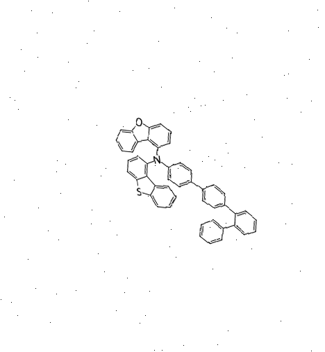 c1ccc(-c2ccccc2-c2ccc(-c3ccc(N(c4cccc5oc6ccccc6c45)c4cccc5sc6ccccc6c45)cc3)cc2)cc1